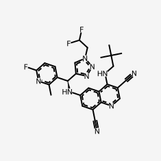 Cc1nc(F)ccc1[C@H](Nc1cc(C#N)c2ncc(C#N)c(NCC(C)(C)C)c2c1)c1cn(CC(F)F)nn1